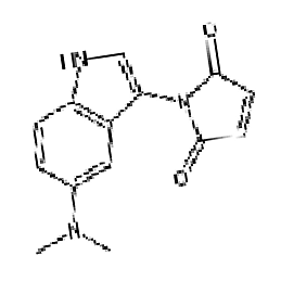 CN(C)c1ccc2[nH]cc(N3C(=O)C=CC3=O)c2c1